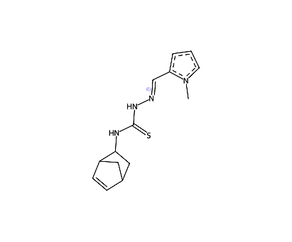 Cn1cccc1/C=N/NC(=S)NC1CC2C=CC1C2